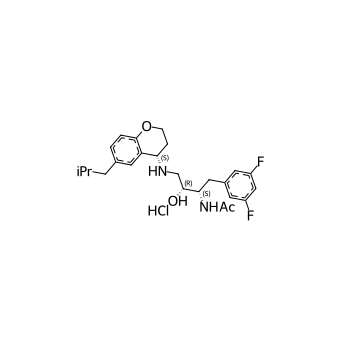 CC(=O)N[C@@H](Cc1cc(F)cc(F)c1)[C@H](O)CN[C@H]1CCOc2ccc(CC(C)C)cc21.Cl